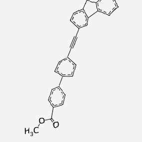 COC(=O)c1ccc(-c2ccc(C#Cc3ccc4c(c3)-c3ccccc3C4)cc2)cc1